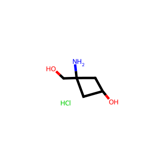 Cl.NC1(CO)CC(O)C1